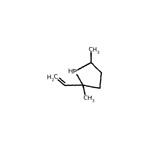 C=CC1(C)CCC(C)P1